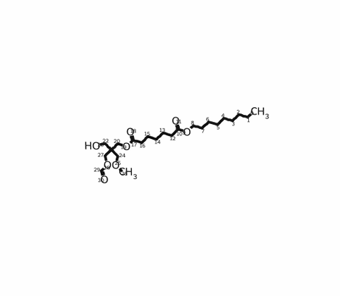 CCCCCCCCCOC(=O)CCCCCC(=O)OCC(CO)(COC)COC=O